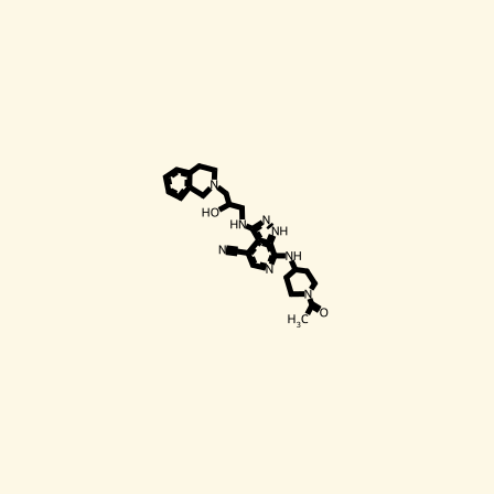 CC(=O)N1CCC(Nc2ncc(C#N)c3c(NCC(O)CN4CCc5ccccc5C4)n[nH]c23)CC1